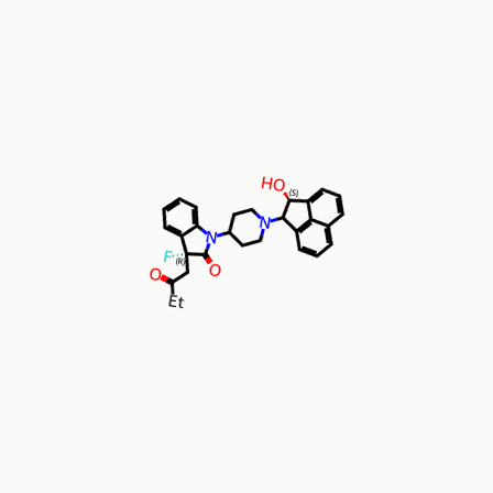 CCC(=O)C[C@]1(F)C(=O)N(C2CCN(C3c4cccc5cccc(c45)[C@@H]3O)CC2)c2ccccc21